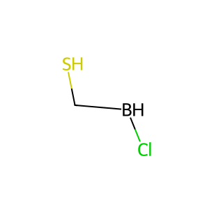 SCBCl